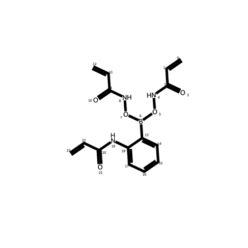 C=CC(=O)NOB(ONC(=O)C=C)c1ccccc1NC(=O)C=C